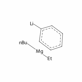 CCC[CH2][Mg][CH2]C.[Li][c]1ccccc1